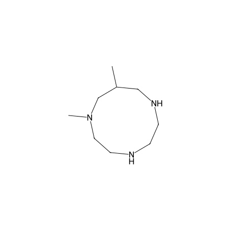 CC1CNCCNCCN(C)C1